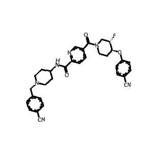 N#Cc1ccc(CN2CCC(NC(=O)c3ccc(C(=O)N4CC[C@H](Oc5ccc(C#N)cc5)[C@@H](F)C4)cn3)CC2)cc1